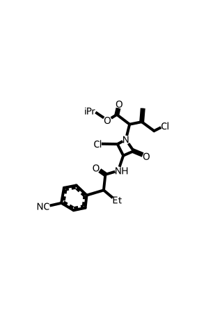 C=C(CCl)C(C(=O)OC(C)C)N1C(=O)C(NC(=O)C(CC)c2ccc(C#N)cc2)C1Cl